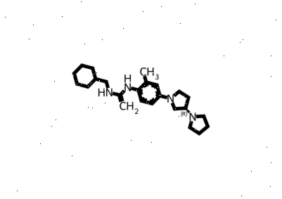 C=C(NCC1CCCCC1)Nc1ccc(N2CC[C@@H](N3CCCC3)C2)cc1C